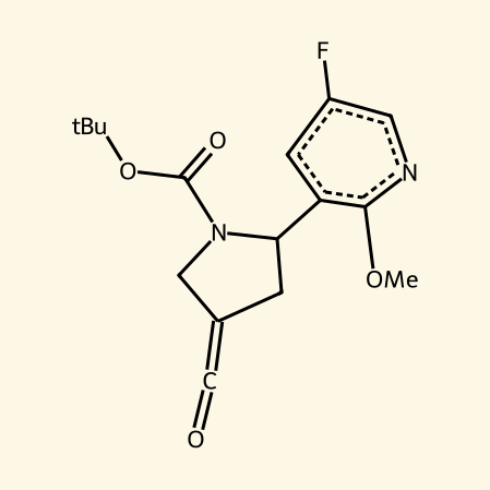 COc1ncc(F)cc1C1CC(=C=O)CN1C(=O)OC(C)(C)C